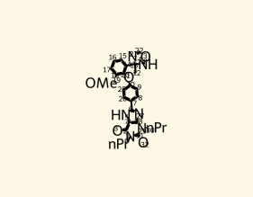 CCCn1c(=O)c2[nH]c(-c3ccc(OCC4(c5cccc(OC)c5)N=CON4)cc3)nc2n(CCC)c1=O